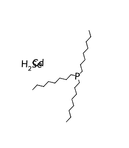 CCCCCCCCP(CCCCCCCC)CCCCCCCC.[Cd].[SeH2]